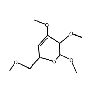 COCC1C=C(OC)C(OC)C(OC)O1